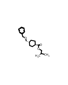 CC(C)COC(=O)[C@H]1CC[C@H](COCc2ccccc2)CC1